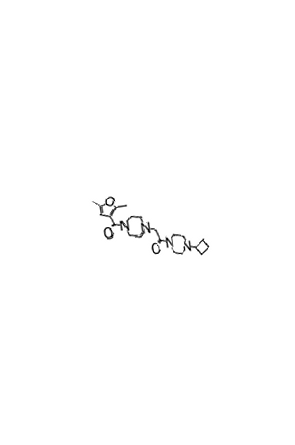 Cc1cc(C(=O)N2CCN(CC(=O)N3CCN(C4CCC4)CC3)CC2)c(C)o1